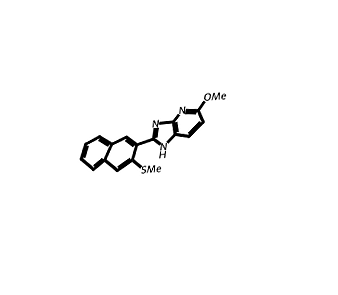 COc1ccc2[nH]c(-c3cc4ccccc4cc3SC)nc2n1